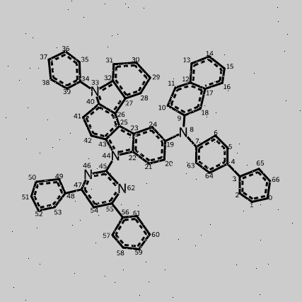 c1ccc(-c2ccc(N(c3ccc4ccccc4c3)c3ccc4c(c3)c3c5c6ccccc6n(-c6ccccc6)c5ccc3n4-c3nc(-c4ccccc4)cc(-c4ccccc4)n3)cc2)cc1